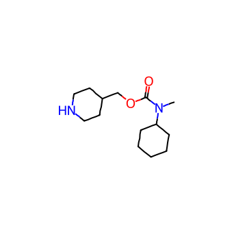 CN(C(=O)OCC1CCNCC1)C1CCCCC1